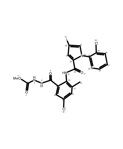 COC(=O)NNC(=O)c1cc(Cl)cc(C)c1NC(=O)c1cc(I)cn1-c1ncccc1Cl